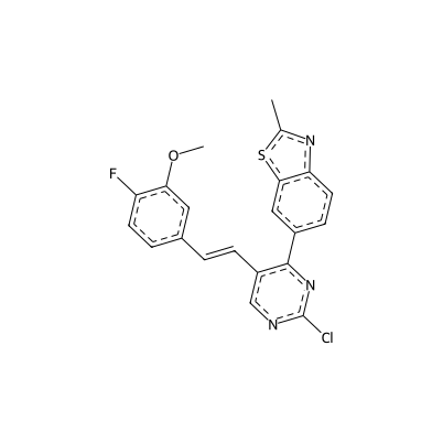 COc1cc(/C=C/c2cnc(Cl)nc2-c2ccc3nc(C)sc3c2)ccc1F